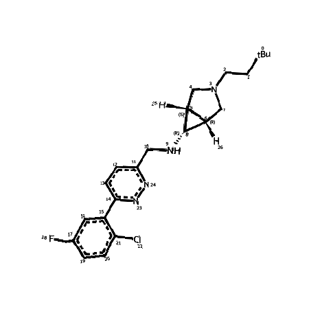 CC(C)(C)CCN1C[C@@H]2[C@H](C1)[C@@H]2NCc1ccc(-c2cc(F)ccc2Cl)nn1